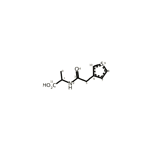 CC(NC(=O)Cc1ccsc1)C(=O)O